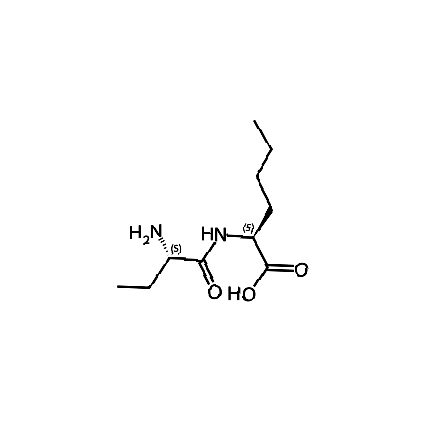 CCCC[C@H](NC(=O)[C@@H](N)CC)C(=O)O